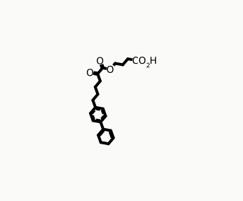 O=C(O)CCCOC(=O)C(=O)CCCCc1ccc(C2=CCCC=C2)cc1